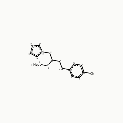 CCCCCCCSC(CSc1ccc(Cl)cc1)Cn1ccnc1